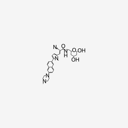 CN1CCN(c2ccc3cc(-c4ccc(/C=C(\C#N)C(=O)NCC5CC(O)CC(O)O5)n4C)ccc3c2)CC1